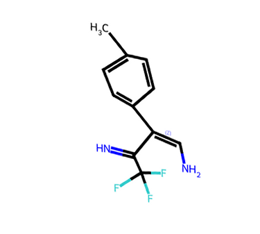 Cc1ccc(/C(=C/N)C(=N)C(F)(F)F)cc1